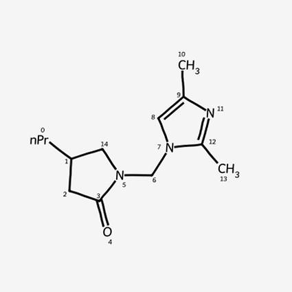 CCCC1CC(=O)N(Cn2cc(C)nc2C)C1